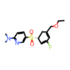 CCOCC1=CC(F)=C[C@H](S(=O)(=O)c2ccc(N(C)C)nc2)[CH]1